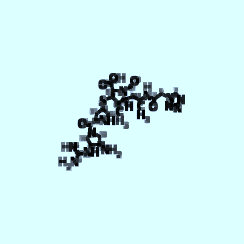 C[C@@H](NC(=O)Cn1cnnn1)[C@H]1C(=O)N2C(C(=O)O)=C(S[C@@H]3CN[C@H](C(=O)N4C[C@H](N)[C@H](NC(=N)N)C4)C3)[C@H](C)[C@H]12